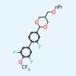 CCCOCC1COC(c2ccc(-c3cc(F)c(OC(F)(F)F)c(F)c3)c(F)c2)OC1